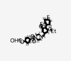 CCOc1cc(CN2CCN(S(=O)(=O)c3ccc(OC=O)cc3)CC2)cc(OCC)c1-c1ccc(F)cc1